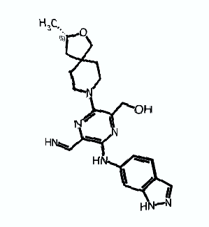 C[C@H]1CC2(CCN(c3nc(C=N)c(Nc4ccc5cn[nH]c5c4)nc3CO)CC2)CO1